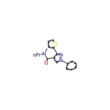 CCCN(C)C(=O)c1cn(-c2ccccc2)nc1-c1cccs1